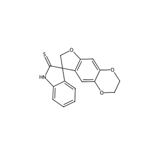 S=C1Nc2ccccc2C12COc1cc3c(cc12)OCCO3